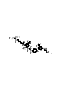 CC(F)(F)c1cc(NCCN)cc(Oc2ccc(NC(=O)Nc3cc(C(C)(F)F)cc(NC(=O)CCCCNC(=N)N)c3O)cc2)c1